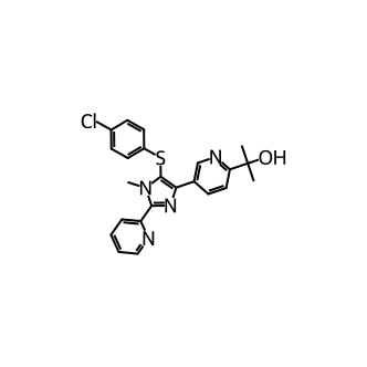 Cn1c(-c2ccccn2)nc(-c2ccc(C(C)(C)O)nc2)c1Sc1ccc(Cl)cc1